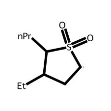 CCCC1C(CC)C[CH]S1(=O)=O